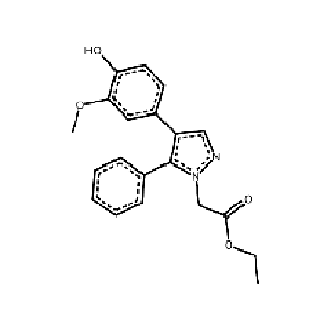 CCOC(=O)Cn1ncc(-c2ccc(O)c(OC)c2)c1-c1ccccc1